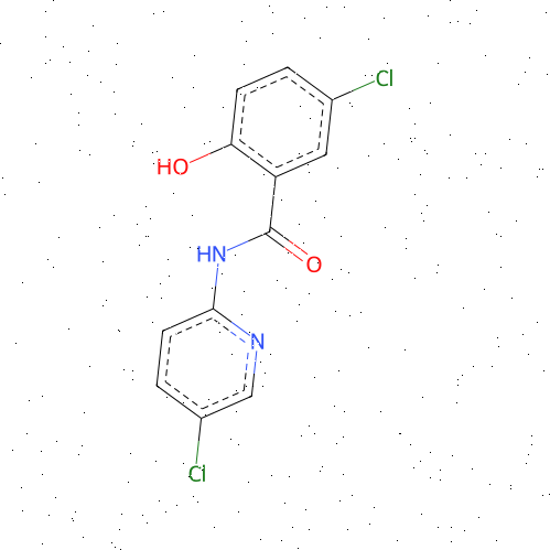 O=C(Nc1ccc(Cl)cn1)c1cc(Cl)ccc1O